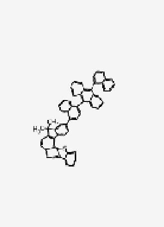 CC1(C)c2cc(-c3ccc(-c4c5ccccc5c(-c5cccc6ccccc56)c5ccccc45)c4ccccc34)ccc2-c2c1ccc1ccc3c4ccccc4sc3c21